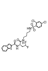 O=C(N[C@H](CC(F)F)C(=O)NCCCCNS(=O)(=O)c1ccc(Cl)cc1Cl)c1cc2ccccc2s1